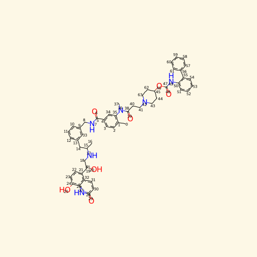 Cc1ccc(C(=O)NCc2cccc(CC(C)NC[C@H](O)c3ccc(O)c4[nH]c(=O)ccc34)c2)cc1N(C)C(=O)CCN1CCC(OC(=O)Nc2ccccc2-c2ccccc2)CC1